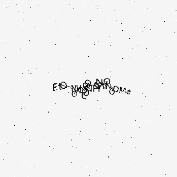 CCOCCCNC(=O)c1ccc(S(=O)(=O)NC(=O)c2ccc(C(=O)NCC(=O)OC)nc2)c(Cl)c1